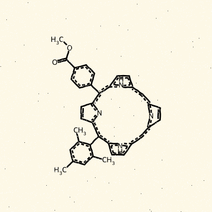 COC(=O)c1ccc(-c2c3nc(c(-c4c(C)cc(C)cc4C)c4ccc(cc5nc(cc6ccc2[nH]6)C=C5)[nH]4)C=C3)cc1